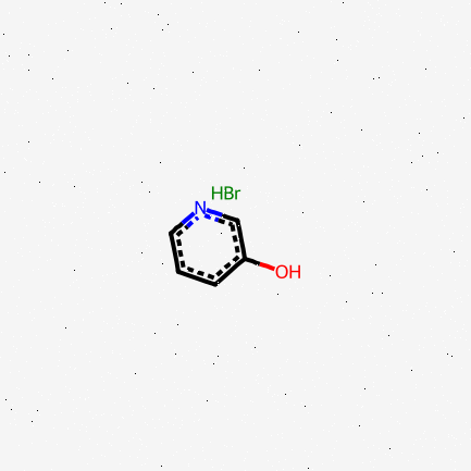 Br.Oc1cccnc1